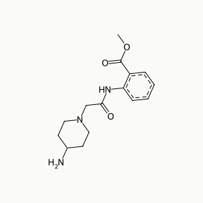 COC(=O)c1ccccc1NC(=O)CN1CCC(N)CC1